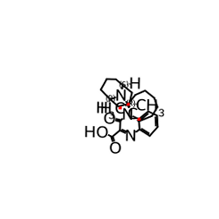 CC1(N2[C@@H]3CCC[C@H]2C[C@@](C)(n2c(=O)c(C(=O)O)nc4ccccc42)C3)CCCCCCC1